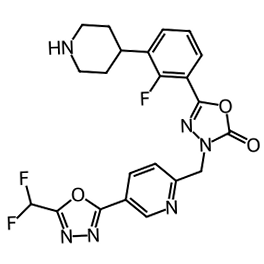 O=c1oc(-c2cccc(C3CCNCC3)c2F)nn1Cc1ccc(-c2nnc(C(F)F)o2)cn1